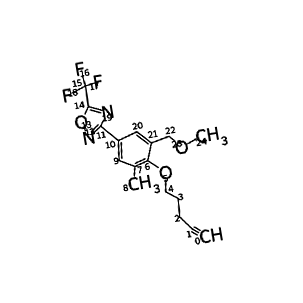 C#CCCCOc1c(C)cc(-c2noc(C(F)(F)F)n2)cc1COC